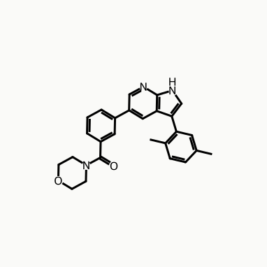 Cc1ccc(C)c(-c2c[nH]c3ncc(-c4cccc(C(=O)N5CCOCC5)c4)cc23)c1